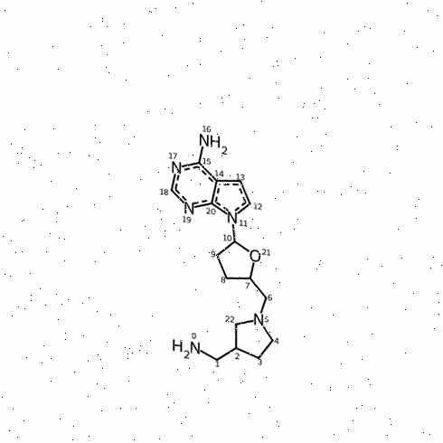 NCC1CCN(CC2CCC(n3ccc4c(N)ncnc43)O2)C1